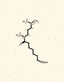 CCCCCCCCCCCCCCCC(=O)N(C)CCCN(C)C